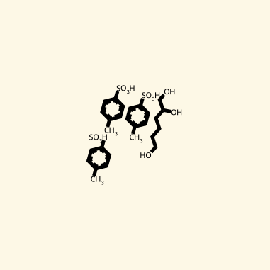 Cc1ccc(S(=O)(=O)O)cc1.Cc1ccc(S(=O)(=O)O)cc1.Cc1ccc(S(=O)(=O)O)cc1.OCCCCC(O)CO